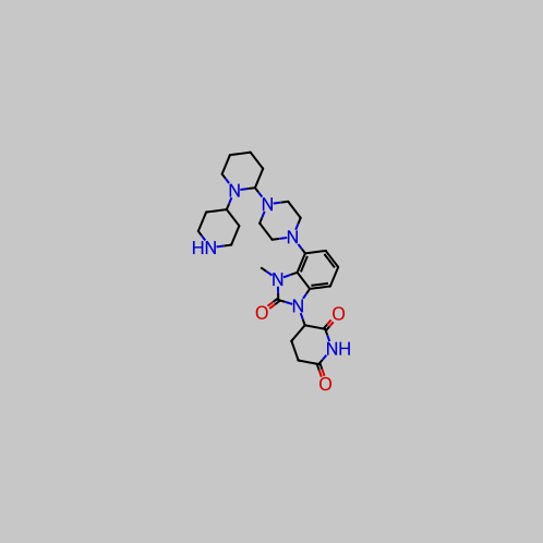 Cn1c(=O)n(C2CCC(=O)NC2=O)c2cccc(N3CCN(C4CCCCN4C4CCNCC4)CC3)c21